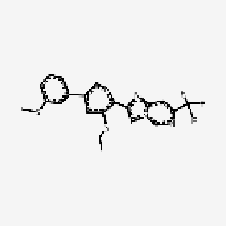 CCSc1cc(-c2cccc(SC)c2)cnc1-c1cn2cnc(C(F)(F)F)cc2n1